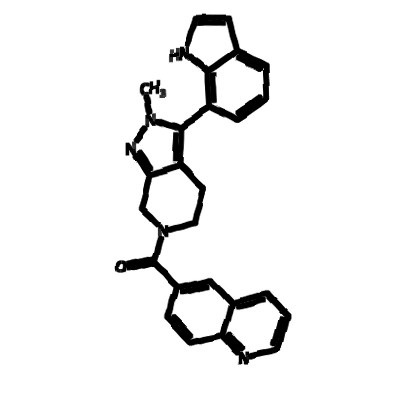 Cn1nc2c(c1-c1cccc3cc[nH]c13)CCN(C(=O)c1ccc3ncccc3c1)C2